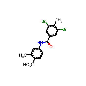 Cc1cc(NC(=O)c2cc(Br)c(C)c(Br)c2)ccc1C(=O)O